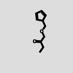 CCC(=O)COCC1C=CC=C1